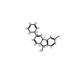 Cc1ccc2c(c1)C1C=C(C3C=CC=CC3)C=CC1N2C